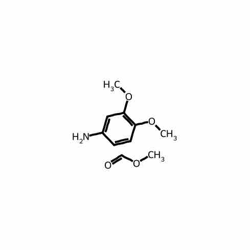 COC=O.COc1ccc(N)cc1OC